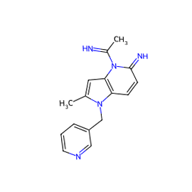 CC(=N)n1c(=N)ccc2c1cc(C)n2Cc1cccnc1